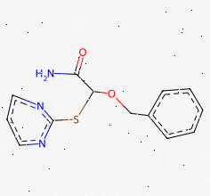 NC(=O)C(OCc1ccccc1)Sc1ncccn1